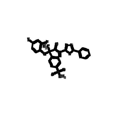 CC(Oc1ccc(F)cc1F)(C(=O)Nc1nnc(-c2ccccc2)s1)c1ccc(S(C)(=O)=O)cc1